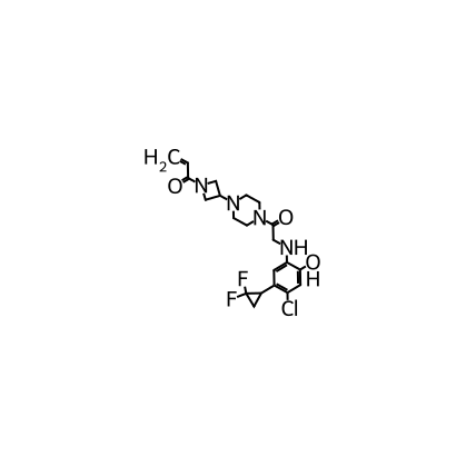 C=CC(=O)N1CC(N2CCN(C(=O)CNc3cc(C4CC4(F)F)c(Cl)cc3O)CC2)C1